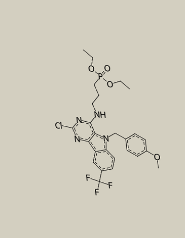 CCOP(=O)(CCCNc1nc(Cl)nc2c3cc(C(F)(F)F)ccc3n(Cc3ccc(OC)cc3)c12)OCC